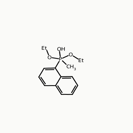 CCOP(C)(O)(OCC)c1cccc2ccccc12